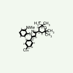 CNc1ccccc1-n1nc(C2CC(C)(C)OC(C)(C)C2)cc1-c1ccc(Cl)cc1